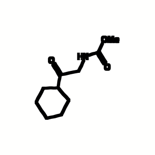 COC(=O)NCC(=O)C1CCCCC1